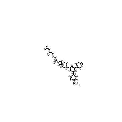 CC(C)=CC(=O)CCCC(=O)N1CC2(CCN(c3cc(-c4cnc(N)nc4)nc(N4CCOCC4)c3)CC2)C1